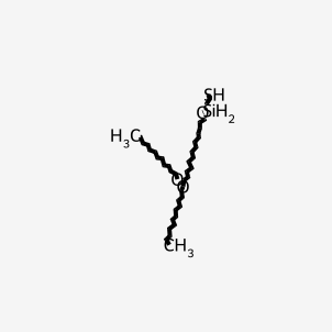 CCCCCCCCCCCCOC(CCCCCCCCCCCCCO[SiH2]CCS)OCCCCCCCCCCCC